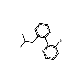 CC(C)Cc1cccnc1-c1ncccc1Br